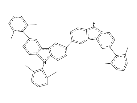 Cc1cccc(C)c1-c1ccc2[nH]c3ccc(-c4ccc5c(c4)c4cc(-c6c(C)cccc6C)ccc4n5-c4c(C)cccc4C)cc3c2c1